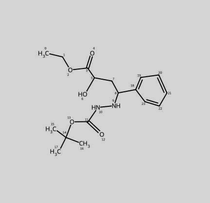 CCOC(=O)C(O)CC(NNC(=O)OC(C)(C)C)c1ccccc1